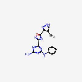 Bc1c[nH]nc1-c1nc(-c2nc(N)nc(N(C)c3ccccc3)n2)no1